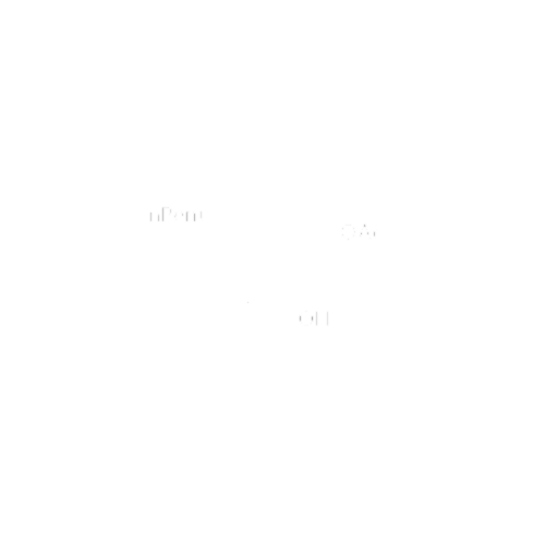 CCCCCC(CO)COC(C)=O